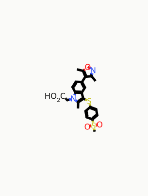 Cc1noc(C)c1-c1ccc2c(c1)c(Sc1ccc(S(C)(=O)=O)cc1)c(C)n2CC(=O)O